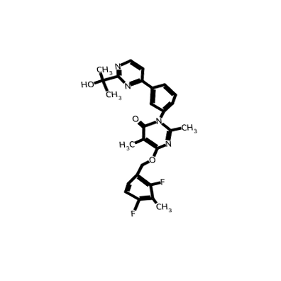 Cc1c(F)ccc(COc2nc(C)n(-c3cccc(-c4ccnc(C(C)(C)O)n4)c3)c(=O)c2C)c1F